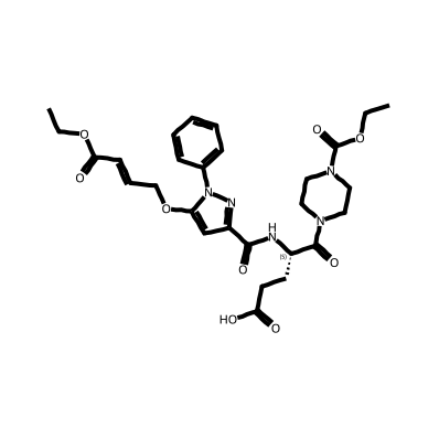 CCOC(=O)C=CCOc1cc(C(=O)N[C@@H](CCC(=O)O)C(=O)N2CCN(C(=O)OCC)CC2)nn1-c1ccccc1